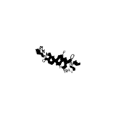 CCCN(CCC)C(=O)C1=Cc2c(F)cc(-c3ccc4c(=O)n(Cc5ccn(C)n5)ncc4c3)cc2N=C(N)C1